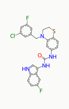 O=C(Nc1ccc2c(c1)N(Cc1cc(F)cc(Cl)c1)CCS2)Nc1c[nH]c2ccc(F)cc12